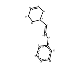 C1=CCC(C=NCc2ccccc2)CC1